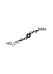 CNCCOCCOc1ccc(OCCOCCOCC(=O)O)cc1